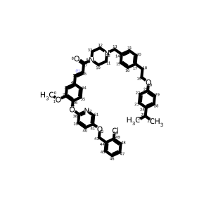 COc1cc(/C=C/C(=O)N2CCN(Cc3ccc(CCOc4ccc(C(C)C)cc4)cc3)CC2)ccc1Oc1ccc(OCc2ccccc2Cl)cn1